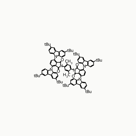 Cc1cc(N2C(=O)c3c(-n4c5ccc(C(C)(C)C)cc5c5cc(C(C)(C)C)ccc54)ccc(-n4c5ccc(C(C)(C)C)cc5c5cc(C(C)(C)C)ccc54)c3C2=O)c(C)cc1N1C(=O)c2c(-n3c4ccc(C(C)(C)C)cc4c4cc(C(C)(C)C)ccc43)ccc(-n3c4ccc(C(C)(C)C)cc4c4cc(C(C)(C)C)ccc43)c2C1=O